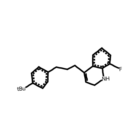 CC(C)(C)c1ccc(CCCC2=CCNc3c(F)cccc32)cc1